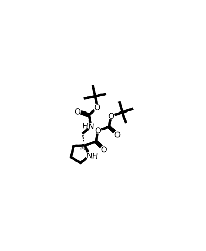 CC(C)(C)OC(=O)NC[C@@]1(C(=O)OC(=O)OC(C)(C)C)CCCN1